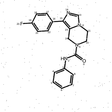 O=C(Nc1ccccc1)N1CCn2cnc(-c3ccc(F)cc3)c2C1